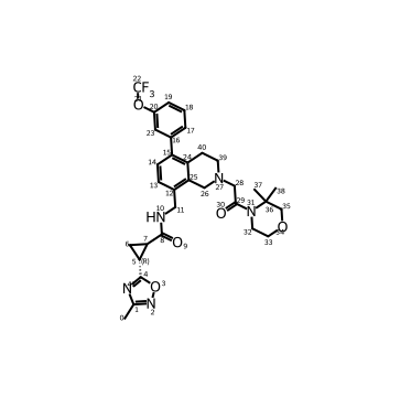 Cc1noc([C@@H]2CC2C(=O)NCc2ccc(-c3cccc(OC(F)(F)F)c3)c3c2CN(CC(=O)N2CCOCC2(C)C)CC3)n1